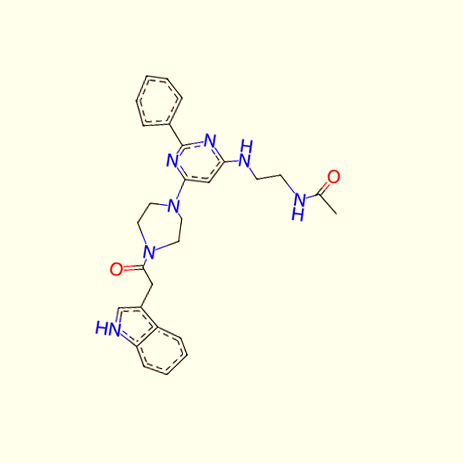 CC(=O)NCCNc1cc(N2CCN(C(=O)Cc3c[nH]c4ccccc34)CC2)nc(-c2ccccc2)n1